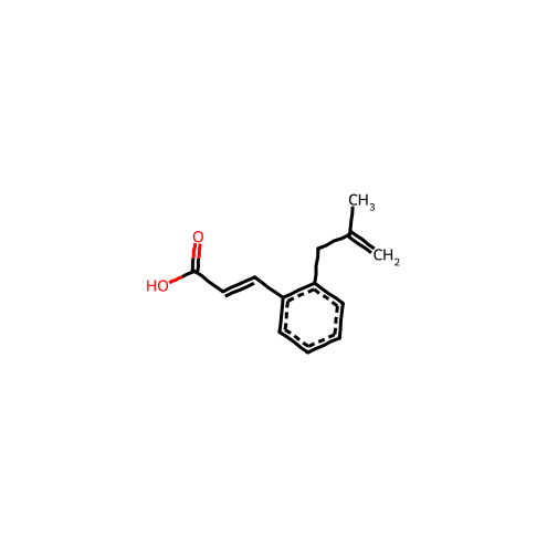 C=C(C)Cc1ccccc1/C=C/C(=O)O